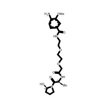 COc1cc(C(=O)NCCOCCOCC(=O)N[C@H](C(=O)N2CCC[C@H]2O)C(C)(C)C)ccc1N